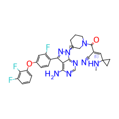 CNC1(/C=C(\C#N)C(=O)N2CCC[C@H](n3nc(-c4ccc(Oc5cccc(F)c5F)cc4F)c4c(N)ncnc43)C2)CC1